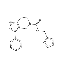 O=C(NCc1cscn1)N1CCc2[nH]nc(-c3ccccc3)c2C1